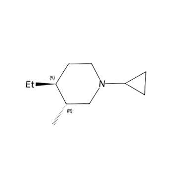 CC[C@H]1CCN(C2CC2)C[C@@H]1C